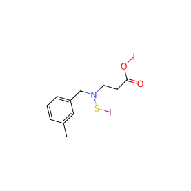 Cc1cccc(CN(CCC(=O)OI)SI)c1